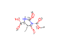 COC(=O)n1c(=O)cc(C(=O)O)[nH]c1=O